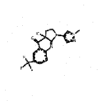 Cn1cc(N2CCC3(O)C(=O)c4cc(C(F)(F)F)ccc4N=C23)cn1